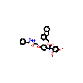 COc1ccc(C(N)(C(=O)OCc2cccc3c2Cc2ccccc2-3)c2ccc(OCC(=O)NN(C)Cc3ccccc3)cc2)c(OC)c1